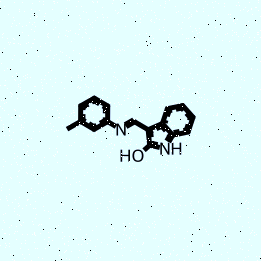 Cc1cccc(/N=C/c2c(O)[nH]c3ccccc23)c1